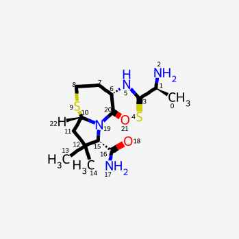 C[C@H](N)C(=S)N[C@H]1CCS[C@H]2CC(C)(C)[C@@H](C(N)=O)N2C1=O